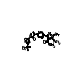 CCC(C)(C)c1cc(NC(=O)C(C)c2ccc(-c3nn(C(C)C)c(N)c3C(N)=O)cn2)on1